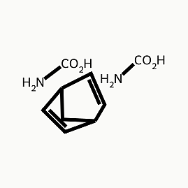 C1=CC2C=CC1C2.NC(=O)O.NC(=O)O